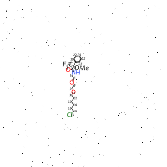 CO[C@@](C(=O)NCCOCCOCCCCCCCl)(c1ccccc1)C(F)(F)F